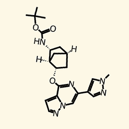 Cn1cc(-c2cn3nccc3c(O[C@H]3C[C@H]4C[C@@H]3[C@H](NC(=O)OC(C)(C)C)C4)n2)cn1